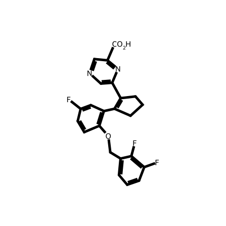 O=C(O)c1cncc(C2=C(c3cc(F)ccc3OCc3cccc(F)c3F)CCC2)n1